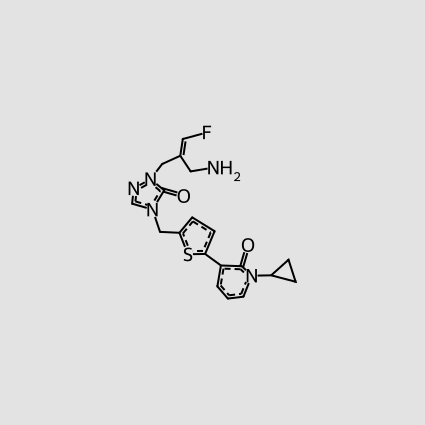 NC/C(=C\F)Cn1ncn(Cc2ccc(-c3cccn(C4CC4)c3=O)s2)c1=O